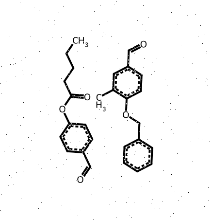 CCCCC(=O)Oc1ccc(C=O)cc1.Cc1cc(C=O)ccc1OCc1ccccc1